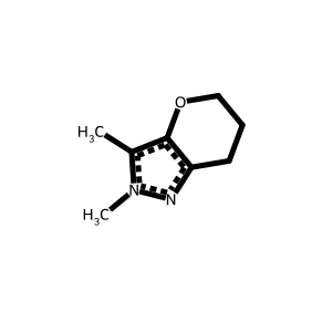 Cc1c2c(nn1C)CCCO2